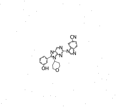 N#Cc1ccc2ncn(-c3ncc4nc(-c5cccc(O)c5)n(C5CCOCC5)c4n3)c2c1